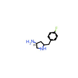 N[C@@H]1CNC(Cc2ccc(F)cc2)C1